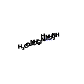 COC[C@@H](N)Cc1ccc(N/C=C(N)/C=C\C=N)cc1